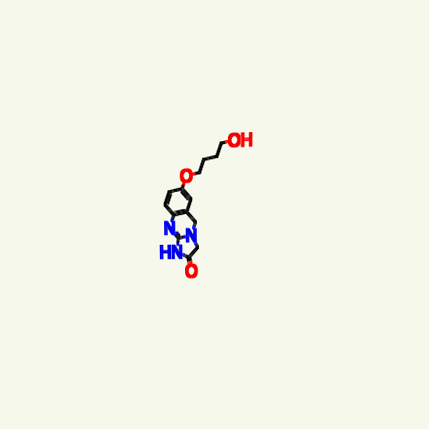 O=C1CN2Cc3cc(OCCCCO)ccc3N=C2N1